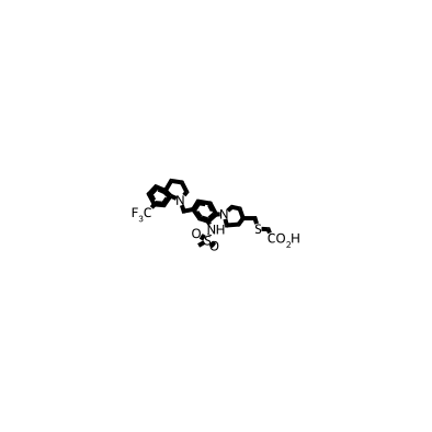 CS(=O)(=O)Nc1cc(CN2CCCc3ccc(C(F)(F)F)cc32)ccc1N1CCC(CSCC(=O)O)CC1